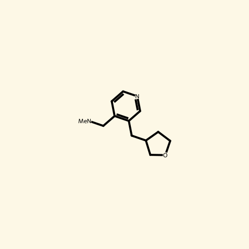 CNCc1ccncc1CC1CCOC1